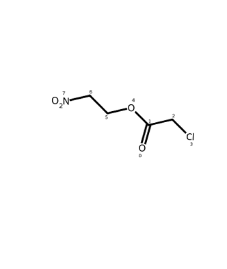 O=C(CCl)OCC[N+](=O)[O-]